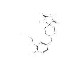 CCOc1cc(CN2CCC3(CC2)NC(=O)NC3=O)ccc1Cl